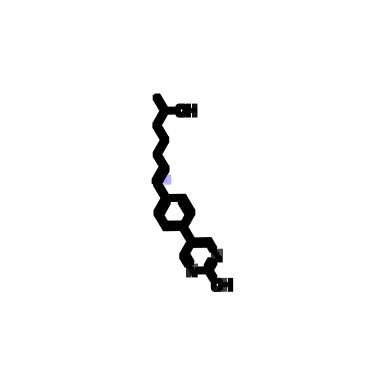 CC(O)CCC/C=C/c1ccc(-c2cnc(O)nc2)cc1